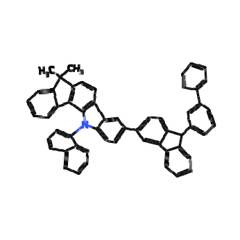 CC1(C)c2ccccc2-c2c1ccc1c3cc(-c4ccc5c(c4)-c4ccccc4C5c4cccc(-c5ccccc5)c4)ccc3n(-c3cccc4ccccc34)c21